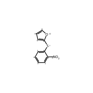 O=[N+]([O-])c1c[c]ccc1Sc1ccco1